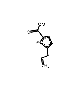 C=CCc1ccc(C(=O)OC)[nH]1